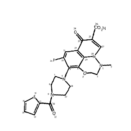 CN1COc2c(N3CCN(C(=O)c4cccs4)CC3)c(F)cc3c(=O)c(C(=O)O)cn1c23